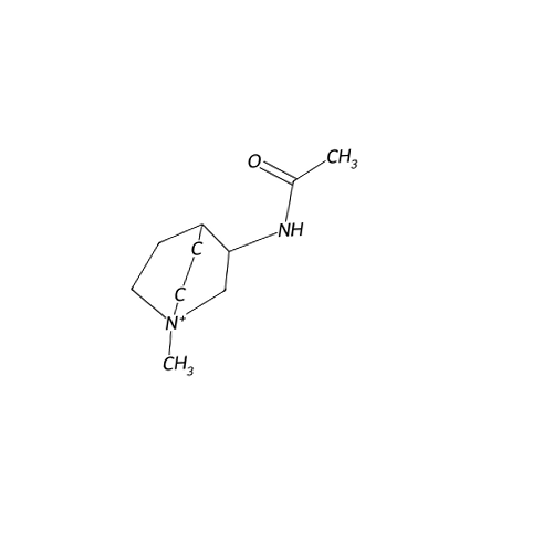 CC(=O)NC1C[N+]2(C)CCC1CC2